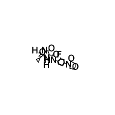 NC(=O)[C@@H](NC(=O)C1CC1)C(=O)Nc1ccc(N2CCOCC2=O)cc1F